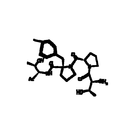 CC(=O)[C@@H](NC(=O)[C@]1(Cc2ccc(C)cc2)CCCN1C(=O)[C@@H]1CCCN1C(=O)[C@@H](N)[C@@H](C)O)[C@@H](C)O